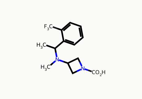 CC(c1ccccc1C(F)(F)F)N(C)C1CN(C(=O)O)C1